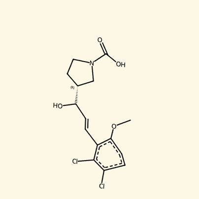 COc1ccc(Cl)c(Cl)c1C=CC(O)[C@@H]1CCN(C(=O)O)C1